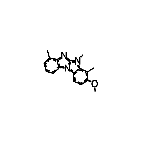 COc1ccc2c(c1C)n(C)c1nc3c(C)cccc3n21